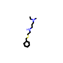 CCN(C)CCCNCCSCc1ccccc1